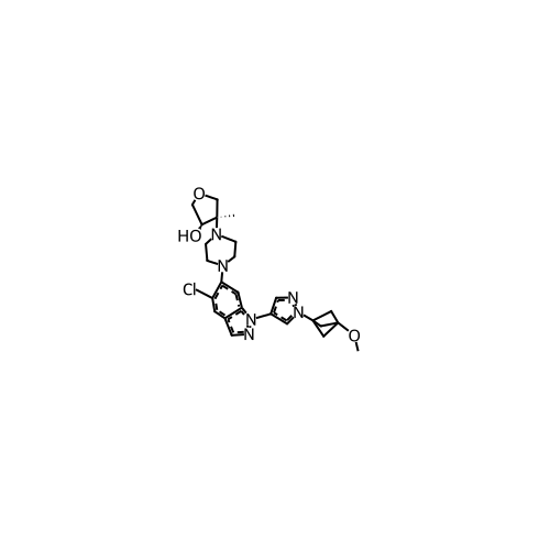 COC12CC(n3cc(-n4ncc5cc(Cl)c(N6CCN([C@]7(C)COC[C@@H]7O)CC6)cc54)cn3)(C1)C2